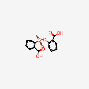 O=C(O)c1ccccc1OS(=O)(=S)c1ccccc1C(=O)O